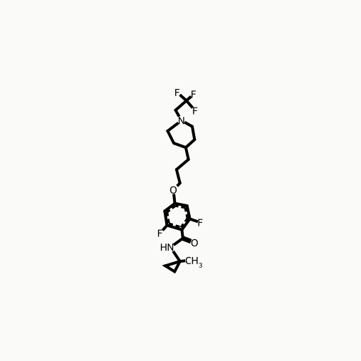 CC1(NC(=O)c2c(F)cc(OCCCC3CCN(CC(F)(F)F)CC3)cc2F)CC1